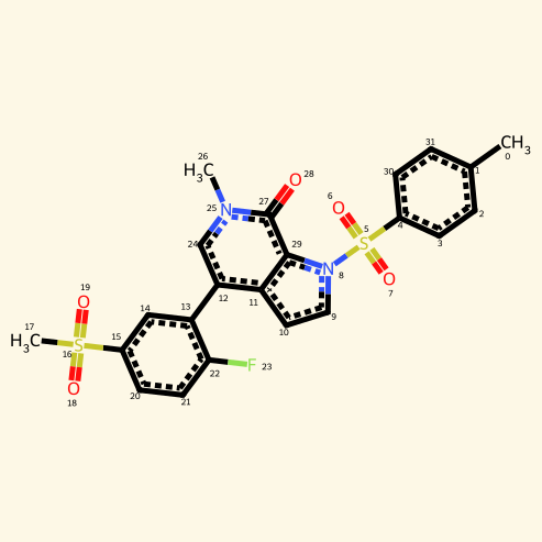 Cc1ccc(S(=O)(=O)n2ccc3c(-c4cc(S(C)(=O)=O)ccc4F)cn(C)c(=O)c32)cc1